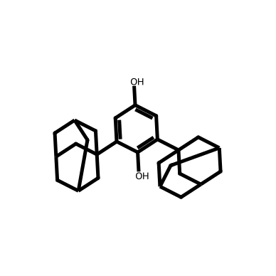 Oc1cc(C23CC4CC(CC(C4)C2)C3)c(O)c(C23CC4CC(CC(C4)C2)C3)c1